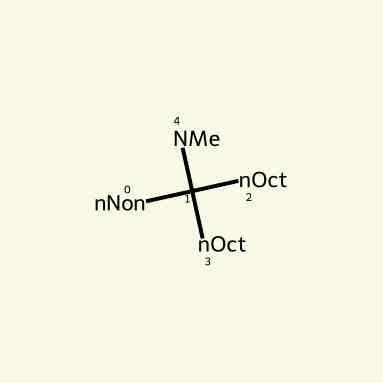 CCCCCCCCCC(CCCCCCCC)(CCCCCCCC)NC